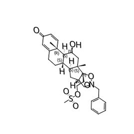 C[C@]12C=CC(=O)C=C1CC[C@@H]1[C@@H]2[C@@H](O)C[C@@]2(C)[C@H]1C[C@H]1CN(Cc3ccccc3)O[C@]12C(=O)COS(C)(=O)=O